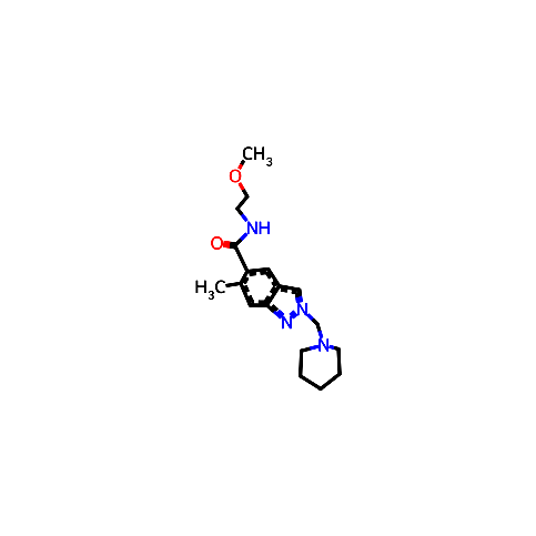 COCCNC(=O)c1cc2cn(CN3CCCCC3)nc2cc1C